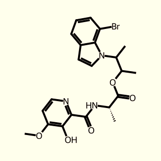 COc1ccnc(C(=O)N[C@@H](C)C(=O)OC(C)C(C)n2ccc3cccc(Br)c32)c1O